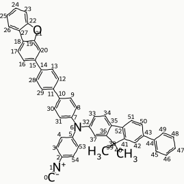 [C-]#[N+]c1ccc(N(c2ccc(-c3ccc(-c4ccc5c(c4)oc4ccccc45)cc3)cc2)c2ccc3c(c2)C(C)(C)c2cc(-c4ccccc4)ccc2-3)cc1